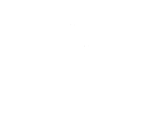 C=C/C=C/CC(CC)OC(=O)C=C